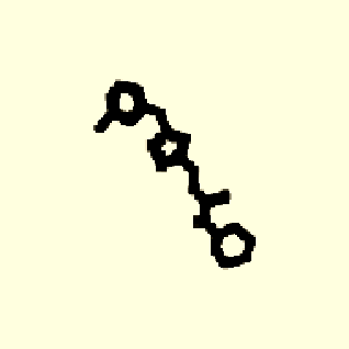 Cc1cccc(Cn2cc(COC(=O)NC3CCCCC3)nn2)c1